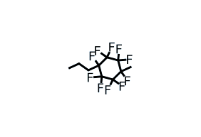 CCCC1(F)C(F)(F)C(F)(F)C(C)(F)C(F)(F)C1(F)F